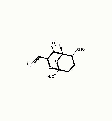 C=C[C@@H]1O[C@]2(C)CC[C@@H](C=O)[C@H](O2)[C@H]1C